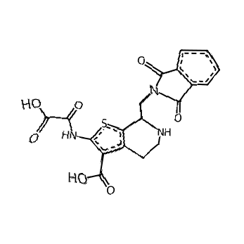 O=C(O)C(=O)Nc1sc2c(c1C(=O)O)CCNC2CN1C(=O)c2ccccc2C1=O